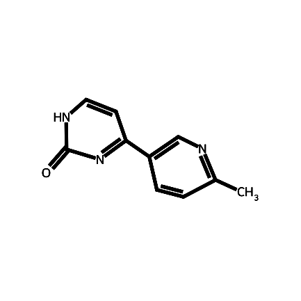 Cc1ccc(-c2cc[nH]c(=O)n2)cn1